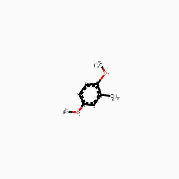 Cc1cc(OC(C)C)ccc1OC(F)(F)F